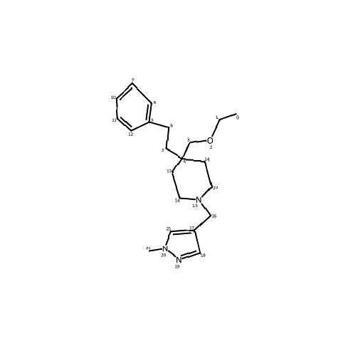 CCOCC1(CCc2ccccc2)CCN(Cc2cnn(C)c2)CC1